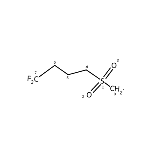 [CH2]S(=O)(=O)CCCC(F)(F)F